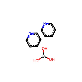 OB(O)O.c1ccncc1.c1ccncc1